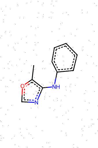 Cc1ocnc1Nc1ccccc1